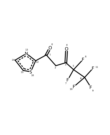 O=C(CC(=O)C(F)(F)C(F)(F)F)c1nccs1